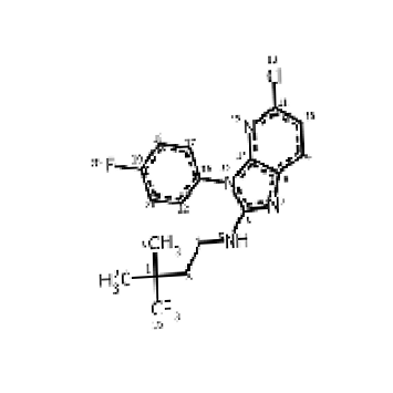 CC(C)(CCNc1nc2ccc(Cl)nc2n1-c1ccc(F)cc1)C(F)(F)F